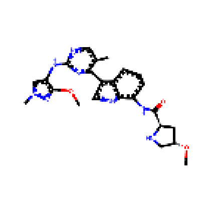 COc1nn(C)cc1Nc1ncc(C)c(-c2c[nH]c3c(NC(=O)[C@H]4C[C@H](OC)CN4)cccc23)n1